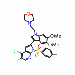 COc1cc2c(-c3cc4c(Cl)c(F)cnc4n3S(=O)(=O)c3ccc(C)cc3)cn(CCN3CCOCC3)c2cc1OC